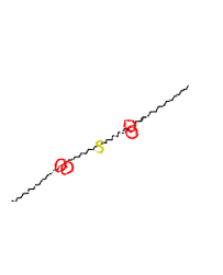 CCCCCCCCCCCCCCCCOC(=O)CCCCCCCCCSCCCCCCCCCC(=O)OCCCCCCCCCCCCCCCC